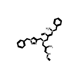 C=NN/C=C(\N)CN(C/C(=C/N(N)Cc1ccccc1)N=C)Cc1cn(Cc2ccccc2)nn1